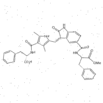 COC(=O)C(Cc1ccccc1)NC(=O)c1ccc2c(c1)/C(=C/c1[nH]c(C)c(C(=O)N[C@@H](Cc3ccccc3)C(=O)O)c1C)C(=O)N2